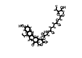 CCc1c2c(nc3ccc(O)cc13)-c1cc3c(c(=O)n1C2)COC(=O)[C@@]3(C)OC(=O)CNC(=O)CCCC(=O)OCC(OC)OC(CC)CO